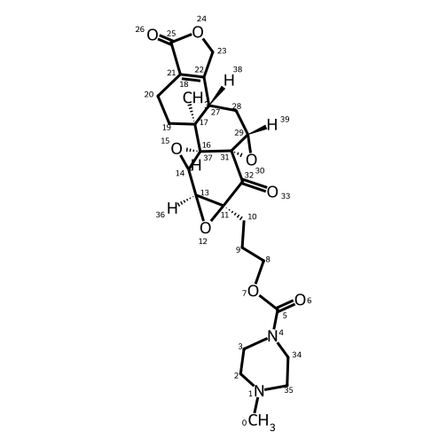 CN1CCN(C(=O)OCCC[C@]23O[C@H]2[C@@H]2O[C@@]24[C@@]2(C)CCC5=C(COC5=O)[C@@H]2C[C@@H]2O[C@@]24C3=O)CC1